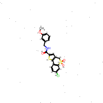 COc1cccc(CNC(=O)c2cc3c(s2)-c2ccc(Cl)cc2S(=O)(=O)C3)c1